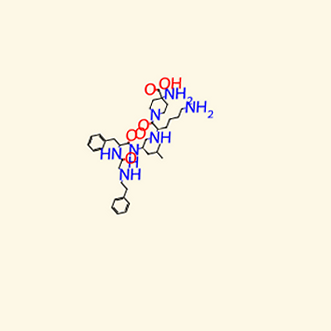 CC(C)C[C@@H](NC(=O)C(Cc1ccccc1)NC(=O)CNCCc1ccccc1)C(=O)N[C@H](CCCCN)C(=O)N1CCC(N)(C(=O)O)CC1